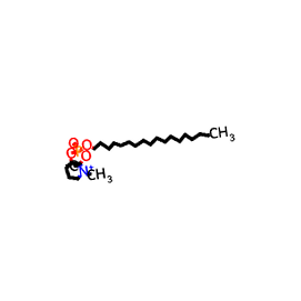 CCCCCCCCCCCCCCCCCCOP1(=O)OC2C3CC[N+](C)(CC3)C2O1